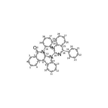 O=c1c2ccccc2c2c3ccccc3n(-c3nc(-c4ccccc4)c4ccccc4n3)c2n1-c1ccccc1